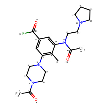 Cc1c(N2CCN(C(=O)C(F)(F)F)CC2)cc(C(=O)F)cc1N(CCN1CCCC1)C(=O)C(F)(F)F